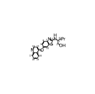 CC(C)C(CO)Nc1nc2ccc(Oc3ccnc4ccccc34)cc2s1